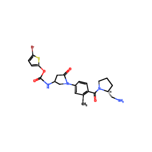 Cc1cc(N2CC(NC(=O)Oc3ccc(Br)s3)CC2=O)ccc1C(=O)N1CCC[C@@H]1CN